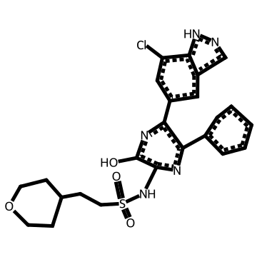 O=S(=O)(CCC1CCOCC1)Nc1nc(-c2ccccc2)c(-c2cc(Cl)c3[nH]ncc3c2)nc1O